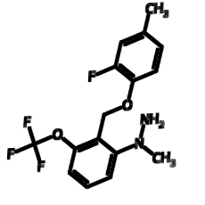 Cc1ccc(OCc2c(OC(F)(F)F)cccc2N(C)N)c(F)c1